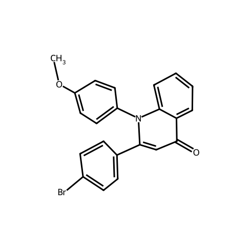 COc1ccc(-n2c(-c3ccc(Br)cc3)cc(=O)c3ccccc32)cc1